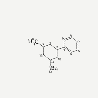 CC1CC(c2ccccc2)CC(C(C)(C)C)C1